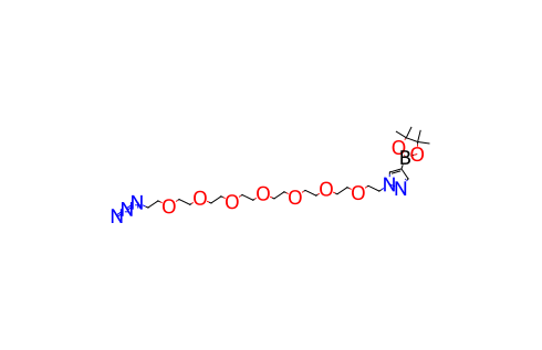 CC1(C)OB(c2cnn(CCOCCOCCOCCOCCOCCOCCOCCN=[N+]=[N-])c2)OC1(C)C